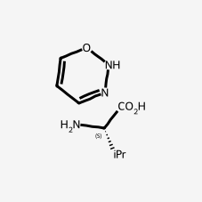 C1=CONN=C1.CC(C)[C@H](N)C(=O)O